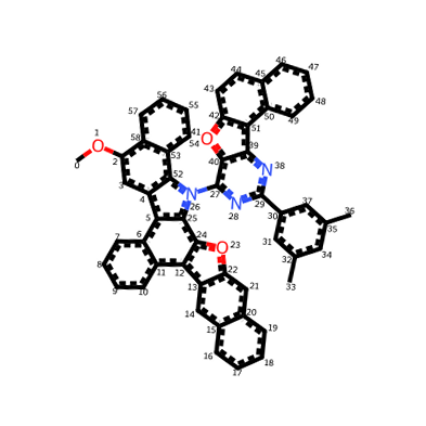 COc1cc2c3c4ccccc4c4c5cc6ccccc6cc5oc4c3n(-c3nc(-c4cc(C)cc(C)c4)nc4c3oc3ccc5ccccc5c34)c2c2ccccc12